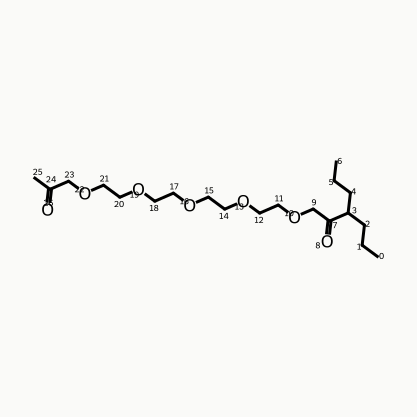 CCCC(CCC)C(=O)COCCOCCOCCOCCOCC(C)=O